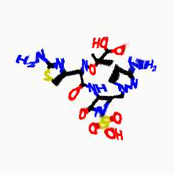 CC(C)(ON=C(C(=O)N[C@@H]1C(=O)N(S(=O)(=O)O)[C@@H]1Cn1ccc(N)n1)c1csc(N)n1)C(=O)O